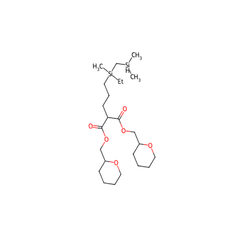 CC[Si](C)(CCCC(C(=O)OCC1CCCCO1)C(=O)OCC1CCCCO1)C[SiH](C)C